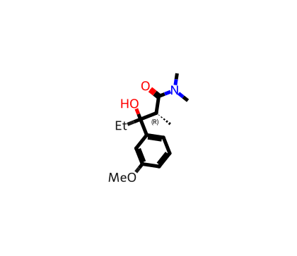 CCC(O)(c1cccc(OC)c1)[C@@H](C)C(=O)N(C)C